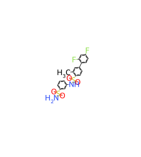 Cc1cc(-c2ccc(F)cc2F)ccc1S(=O)(=O)Nc1cccc(S(N)(=O)=O)c1